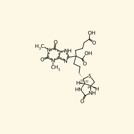 Cn1c(=O)c2[nH]c(C(CCCC(=O)O)(CCC[C@@H]3SC[C@@H]4NC(=O)N[C@@H]43)C(=O)O)nc2n(C)c1=O